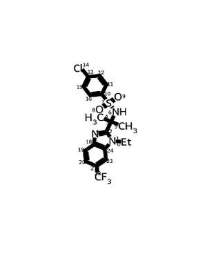 CCn1c(C(C)(C)NS(=O)(=O)c2ccc(Cl)cc2)nc2ccc(C(F)(F)F)cc21